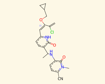 C=C(Cl)/C(=C\c1ccc(C(C)Nc2ccc(C#N)n(C)c2=O)c(=O)[nH]1)OCC1CC1